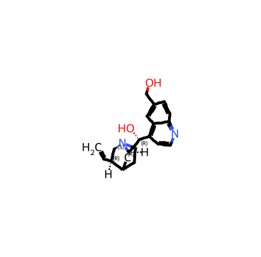 C=C[C@H]1C[N@@]2CCC1C[C@@H]2[C@H](O)c1ccnc2ccc(CO)cc12